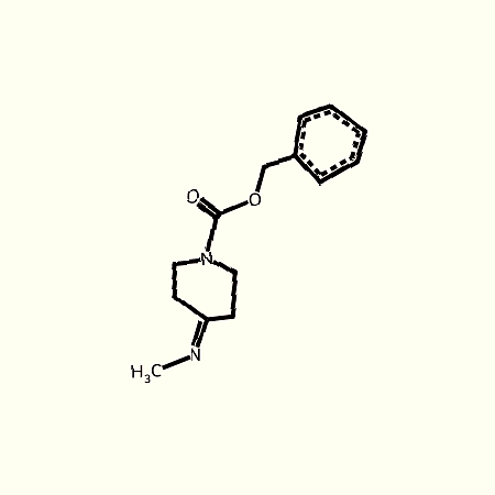 CN=C1CCN(C(=O)OCc2ccccc2)CC1